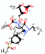 Cc1oc(=O)oc1CON(C(=O)OC(C)(C)C)C1(C)C(=O)N(CC(=O)O)N=C1c1ccc(S(C)(=O)=O)cc1